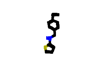 COc1ccc(CNc2cccs2)cc1